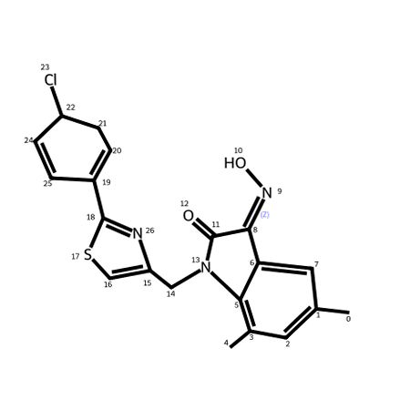 Cc1cc(C)c2c(c1)/C(=N/O)C(=O)N2Cc1csc(C2=CCC(Cl)C=C2)n1